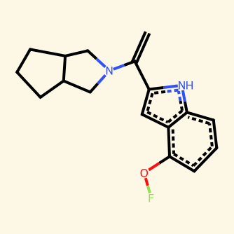 C=C(c1cc2c(OF)cccc2[nH]1)N1CC2CCCC2C1